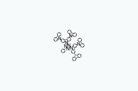 c1ccc(-c2nc(-n3c4ccc(C5c6ccccc6-c6ccccc65)cc4c4cc(-n5c6ccccc6c6ccccc65)ccc43)nc(-n3c4ccc(-n5c6ccccc6c6ccccc65)cc4c4cc(-n5c6ccccc6c6ccccc65)ccc43)n2)cc1